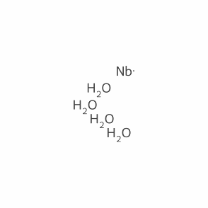 O.O.O.O.[Nb]